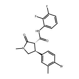 Cc1cc([C@H]2CN(C)C(=O)[C@@H]2C(=O)Nc2cccc(F)c2F)ccc1Br